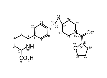 O=C(O)C1CCCC(c2ccc([C@@H]3CC34CCN(C(=O)[C@H]3CCCO3)CC4)cc2)N1